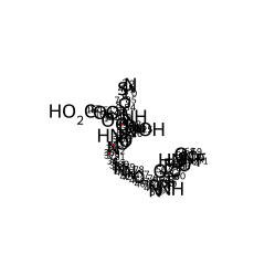 Cc1ncsc1-c1ccc([C@H](COC(=O)COCC(=O)O)NC(=O)[C@@H]2C[C@@H](O)CN2C(=O)[C@@H](NC(=O)CN2CCC(CN3CCN(c4ccc(-c5cnc6[nH]cc(C(=O)c7c(F)ccc(NS(=O)(=O)N8CC[C@@H](F)C8)c7F)c6c5)cc4)CC3)CC2)C(C)(C)C)cc1